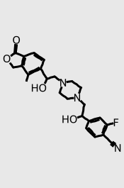 Cc1c(C(O)CN2CCN(CC(O)c3ccc(C#N)c(F)c3)CC2)ccc2c1COC2=O